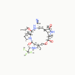 CC(C)[C@H]1CCN2C(=O)[C@@H](NCC(F)(F)F)C(C)(C)COC(=O)[C@@H]3C[C@@H](C[C@@H](C#N)NC(=O)[C@H]12)C(=O)N3